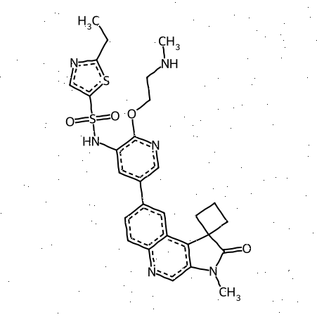 CCc1ncc(S(=O)(=O)Nc2cc(-c3ccc4ncc5c(c4c3)C3(CCC3)C(=O)N5C)cnc2OCCNC)s1